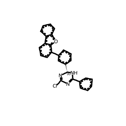 ClC1=N[C@H](c2cccc(-c3cccc4c3oc3ccccc34)c2)NC(c2ccccc2)=N1